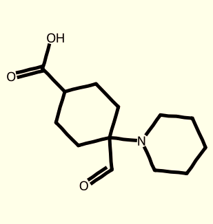 O=CC1(N2CCCCC2)CCC(C(=O)O)CC1